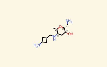 C[C@H]1O[C@H](CN)[C@@H](O)C[C@H]1NCC1CC(N)C1